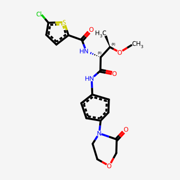 CO[C@H](C)[C@@H](NC(=O)c1ccc(Cl)s1)C(=O)Nc1ccc(N2CCOCC2=O)cc1